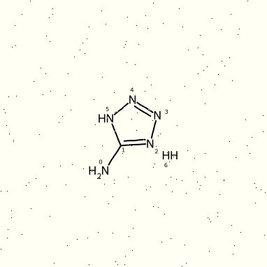 Nc1nnn[nH]1.[HH]